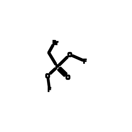 O=P(CBr)(OF)OF